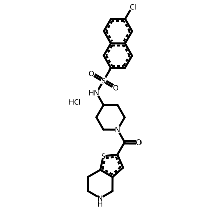 Cl.O=C(c1cc2c(s1)CCNC2)N1CCC(NS(=O)(=O)c2ccc3cc(Cl)ccc3c2)CC1